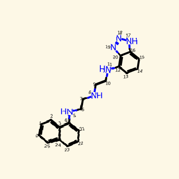 c1ccc2c(NCCNCCNc3cccc4[nH]nnc34)cccc2c1